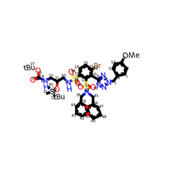 COc1ccc(Cn2nnc(-c3c(Br)ccc(S(=O)(=O)NCC(CNC(=O)OC(C)(C)C)O[Si](C)(C)C(C)(C)C)c3S(=O)(=O)N(Cc3ccccc3)Cc3ccccc3)n2)cc1